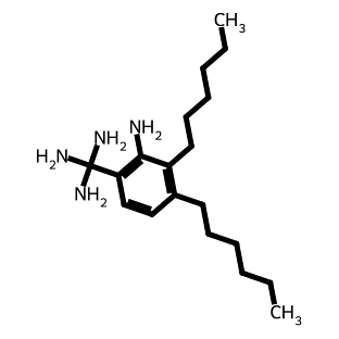 CCCCCCc1ccc(C(N)(N)N)c(N)c1CCCCCC